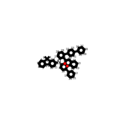 CC1(C)c2ccccc2-c2ccc(N(c3ccc(-c4ccccc4)cc3)c3cccc(-c4ccc(-c5ccccc5)cc4)c3-c3ccc4ccccc4c3)cc21